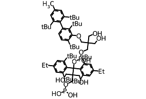 CCc1cc(C(C)(C)C)c(C(OP(O)OCC(CO)(CO)COc2c(C(C)(C)C)ccc(-c3c(C(C)(C)C)cc(C)cc3C(C)(C)C)c2C(C)(C)C)(c2c(C(C)(C)C)cc(CC)cc2C(C)(C)C)C(CO)(CO)COP(O)O)c(C(C)(C)C)c1